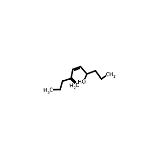 C=C(/C=C\C(O)CCC)CCC